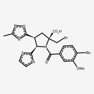 COc1cc(C(=O)N2[C@@H](c3nccs3)[C@@H](c3nc(C)no3)C[C@@]2(CC(C)C)C(=O)O)ccc1C(C)(C)C